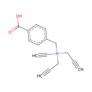 C#CC[N+](C#C)(CC#C)Cc1ccc(C(=O)O)cc1